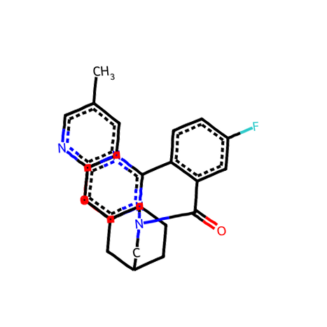 Cc1ccc(OC2CC3CCC2N(C(=O)c2cc(F)ccc2-c2ncccn2)C3)nc1